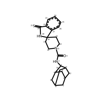 O=C(NC1C2CC3CC(C2)CC1C3)N1CCC2(CC1)NC(=S)c1ccccc12